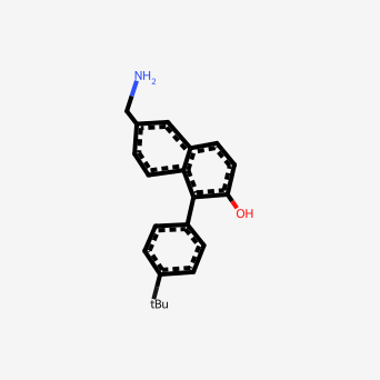 CC(C)(C)c1ccc(-c2c(O)ccc3cc(CN)ccc23)cc1